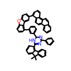 CC1(C)c2ccccc2-c2c(C3=NC(c4ccccc4)=NC(c4cccc(-c5cccc6oc7ccc(-c8cccc9c8ccc8c%10ccccc%10ccc98)cc7c56)c4)N3)cccc21